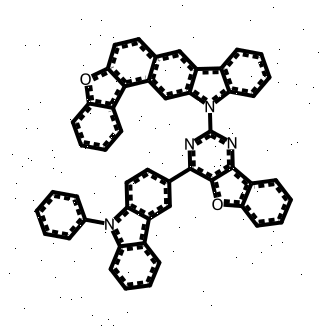 c1ccc(-n2c3ccccc3c3cc(-c4nc(-n5c6ccccc6c6cc7ccc8oc9ccccc9c8c7cc65)nc5c4oc4ccccc45)ccc32)cc1